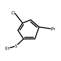 CCSc1cc(Cl)cc(C(C)C)c1